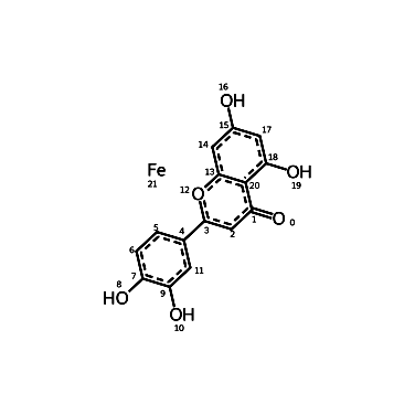 O=c1cc(-c2ccc(O)c(O)c2)oc2cc(O)cc(O)c12.[Fe]